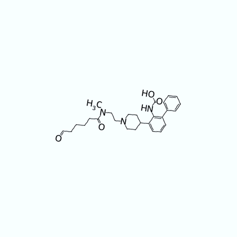 CN(CCN1CCC(c2cccc(-c3ccccc3)c2NC(=O)O)CC1)C(=O)CCCCC=O